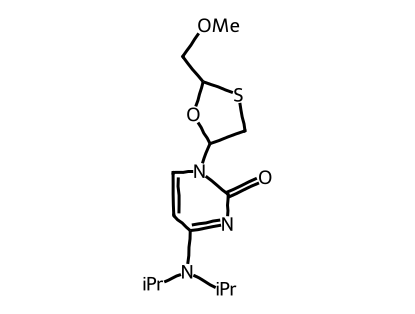 COCC1OC(n2ccc(N(C(C)C)C(C)C)nc2=O)CS1